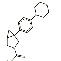 NC(=O)N1CC2CC2(c2ccc(N3CCOCC3)cc2)C1